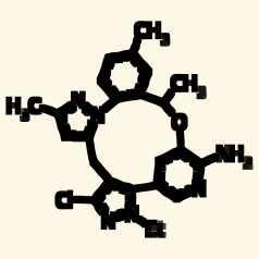 CCn1nc(Cl)c2c1-c1cnc(N)c(c1)OC(C)c1cc(C)ccc1-n1nc(C)cc1C2